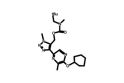 Cc1nc(-c2nnn(C)c2COC(=O)N(C)CC(C)(C)C)cnc1OC1CCCCC1